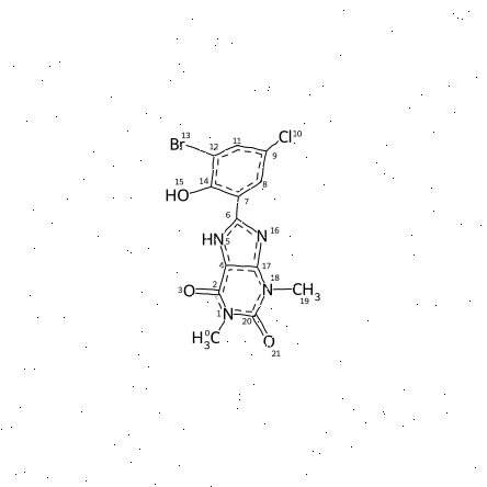 Cn1c(=O)c2[nH]c(-c3cc(Cl)cc(Br)c3O)nc2n(C)c1=O